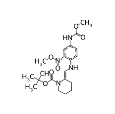 COC(=O)Nc1ccc(N/C=C2\CCCCN2C(=O)OC(C)(C)C)c([N+](=O)OC)c1